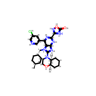 C[C@H]1CC[C@H](Cn2c(N3CCO[C@@H]4CCCC[C@@H]43)nc3nc(-c4noc(=O)[nH]4)nc(-c4cncc(Cl)c4)c32)CC1